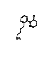 NCCCCc1ccccc1N1N=CCCC1=O